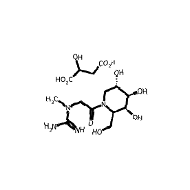 CN(CC(=O)N1C[C@H](O)[C@@H](O)[C@@H](O)C1CO)C(=N)N.O=C(O)CC(O)C(=O)O